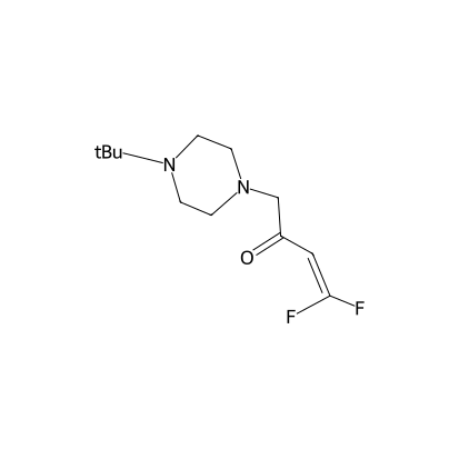 CC(C)(C)N1CCN(CC(=O)C=C(F)F)CC1